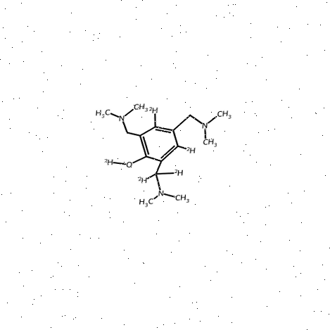 [2H]Oc1c(CN(C)C)c([2H])c(CN(C)C)c([2H])c1C([2H])([2H])N(C)C